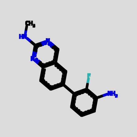 CNc1ncc2cc(-c3cccc(N)c3F)ccc2n1